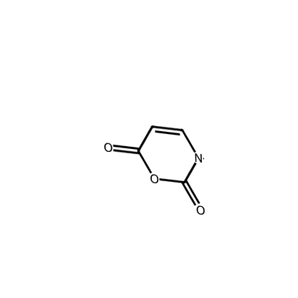 O=C1C=C[N]C(=O)O1